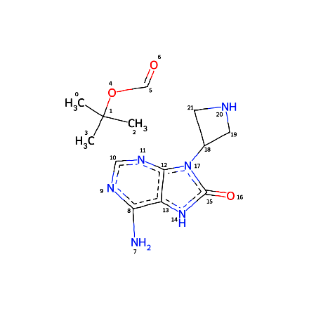 CC(C)(C)OC=O.Nc1ncnc2c1[nH]c(=O)n2C1CNC1